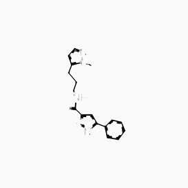 Cn1nccc1CCCNC(=O)c1cc(-c2ccccc2)no1